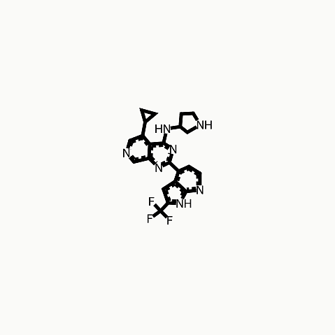 FC(F)(F)c1cc2c(-c3nc(NC4CCNC4)c4c(C5CC5)cncc4n3)ccnc2[nH]1